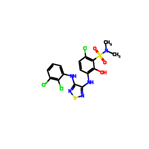 CN(C)S(=O)(=O)c1c(Cl)ccc(Nc2nsnc2Nc2cccc(Cl)c2Cl)c1O